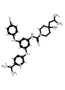 CC(C)CC1(O)CCN(C(=O)Nc2cc(Oc3ccc(F)cc3)cc(Oc3ccc(C(C)C)nc3)c2)CC1